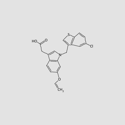 C=COc1ccc2c(CC(=O)O)cn(Cc3csc4ccc(Cl)cc34)c2c1